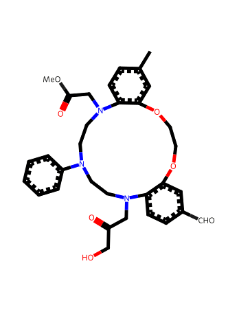 COC(=O)CN1CCN(c2ccccc2)CCN(CC(=O)CO)c2ccc(C=O)cc2OCCOc2cc(C)ccc21